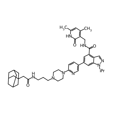 Cc1cc(C)c(CNC(=O)c2cc(-c3ccc(N4CCN(CCCNC(=O)CC56CC7CC(CC(C7)C5)C6)CC4)nc3)cc3c2cnn3C(C)C)c(=O)[nH]1